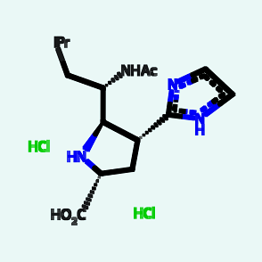 CC(=O)N[C@@H](CC(C)C)[C@@H]1N[C@@H](C(=O)O)C[C@H]1c1ncc[nH]1.Cl.Cl